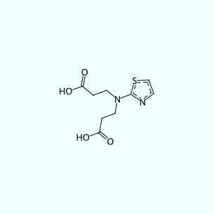 O=C(O)CCN(CCC(=O)O)c1nccs1